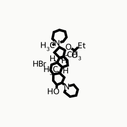 Br.CCC(=O)OC1C([N+]2(C)CCCCCC2)C[C@H]2[C@@H]3CCC4CC(O)C(N5CCCCC5)C[C@]4(C)[C@@H]3CC[C@]12C